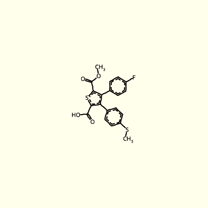 COC(=O)c1sc(C(=O)O)c(-c2ccc(SC)cc2)c1-c1ccc(F)cc1